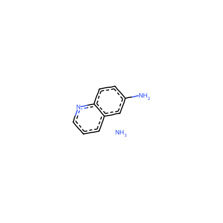 N.Nc1ccc2ncccc2c1